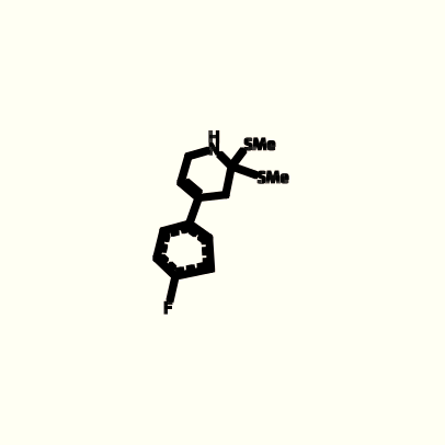 CSC1(SC)CC(c2ccc(F)cc2)=CCN1